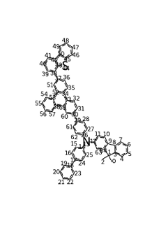 CC1(C)c2ccccc2-c2ccc(N(c3ccc(-c4ccccc4)cc3)c3ccc(-c4ccc5c6ccc(-c7cccc8c7sc7ccccc78)cc6c6ccccc6c5c4)cc3)cc21